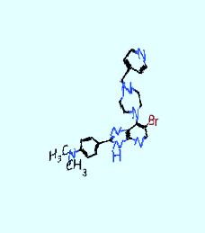 CN(C)c1ccc(-c2nc3c(N4CCN(Cc5ccncc5)CC4)c(Br)cnc3[nH]2)cc1